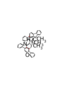 CC1(C)c2ccccc2-c2ccc(-c3cccc(N(c4ccccc4-c4ccc5c(c4)oc4ccccc45)c4cccc5c4-c4ccccc4C5(C)C)c3)cc21